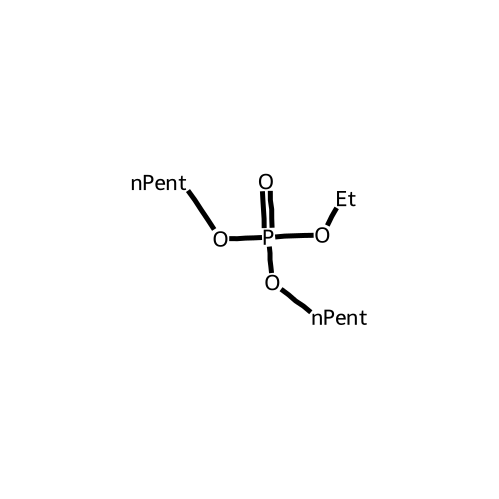 CCCCCOP(=O)(OCC)OCCCCC